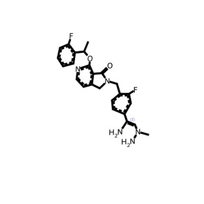 CC(Oc1nccc2c1C(=O)N(Cc1ccc(/C(N)=C/N(C)N)cc1F)C2)c1ccccc1F